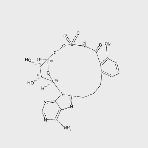 Nc1ncnc2c1nc1n2[C@@H]2O[C@H](COS(=O)(=O)NC(=O)c3c(O)cccc3CCC1)[C@@H](O)[C@H]2O